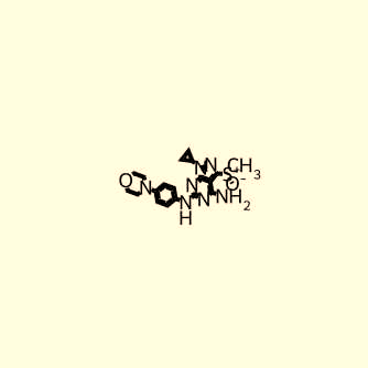 C[S+]([O-])c1nn(C2CC2)c2nc(Nc3ccc(N4CCOCC4)cc3)nc(N)c12